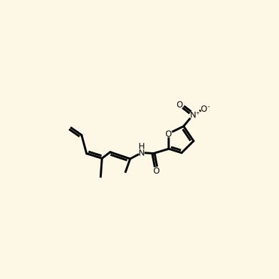 C=C/C=C(C)\C=C(/C)NC(=O)c1ccc([N+](=O)[O-])o1